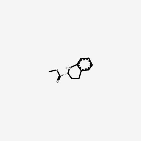 COC(=O)[C@H]1CCc2ccccc2N1